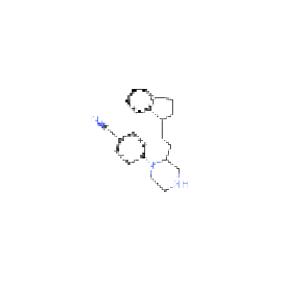 N#Cc1ccc(N2CCNCC2CCC2CCc3ccccc32)cc1